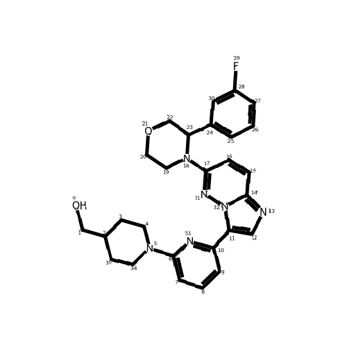 OCC1CCN(c2cccc(-c3cnc4ccc(N5CCOCC5c5cccc(F)c5)nn34)n2)CC1